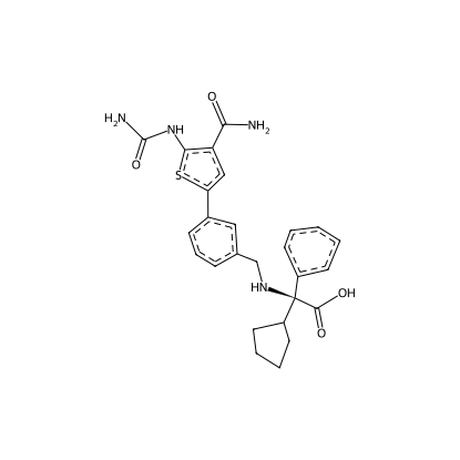 NC(=O)Nc1sc(-c2cccc(CN[C@](C(=O)O)(c3ccccc3)C3CCCC3)c2)cc1C(N)=O